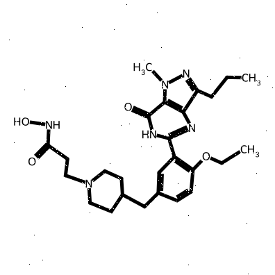 CCCc1nn(C)c2c(=O)[nH]c(-c3cc(CC4CCN(CCC(=O)NO)CC4)ccc3OCC)nc12